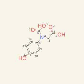 O=C(O)CN(C(=O)O)c1ccc(O)cc1